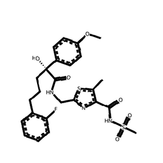 COc1ccc([C@](O)(CCCc2ccccc2F)C(=O)NCc2nc(C(=O)NS(C)(=O)=O)c(C)s2)cc1